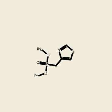 CC(C)OP(=O)(Cc1cs[c]n1)OC(C)C